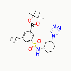 CC1(C)OB(c2cc(C(F)(F)F)cc(S(=O)(=O)N[C@H]3CCC[C@@H](n4cnnc4)C3)c2)OC1(C)C